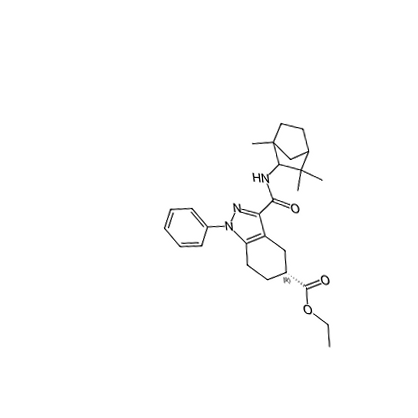 CCOC(=O)[C@@H]1CCc2c(c(C(=O)NC3C4(C)CCC(C4)C3(C)C)nn2-c2ccccc2)C1